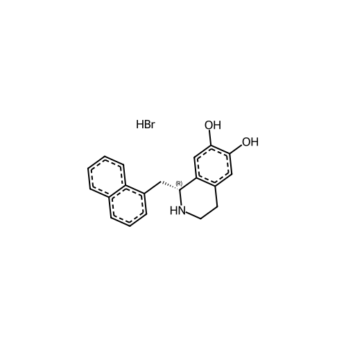 Br.Oc1cc2c(cc1O)[C@@H](Cc1cccc3ccccc13)NCC2